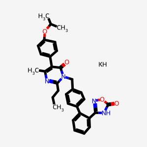 CCCc1nc(C)c(-c2ccc(OC(C)C)cc2)c(=O)n1Cc1ccc(-c2ccccc2-c2noc(=O)[nH]2)cc1.[KH]